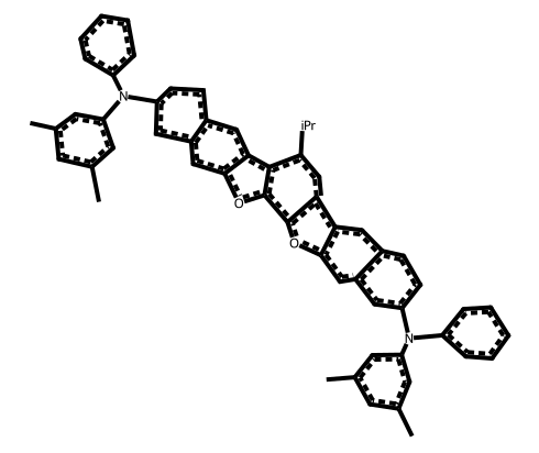 Cc1cc(C)cc(N(c2ccccc2)c2ccc3cc4c(cc3c2)oc2c4cc(C(C)C)c3c4cc5ccc(N(c6ccccc6)c6cc(C)cc(C)c6)cc5cc4oc23)c1